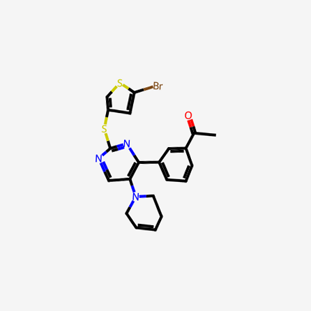 CC(=O)c1cccc(-c2nc(Sc3csc(Br)c3)ncc2N2CC=CCC2)c1